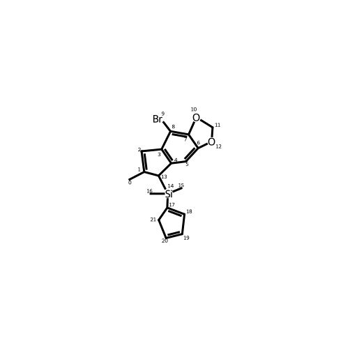 CC1=Cc2c(cc3c(c2Br)OCO3)C1[Si](C)(C)C1=CC=CC1